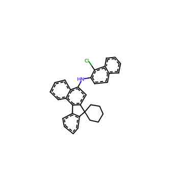 Clc1c(Nc2cc3c(c4ccccc24)-c2ccccc2C32CCCCC2)ccc2ccccc12